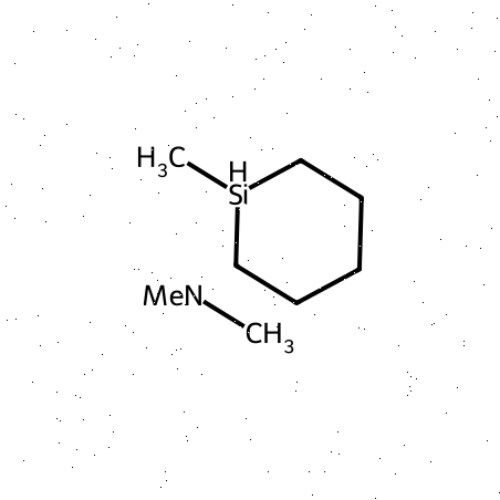 CNC.C[SiH]1CCCCC1